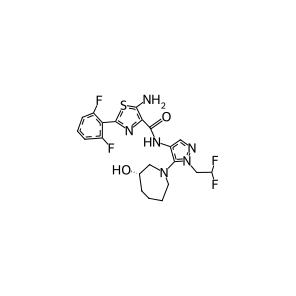 Nc1sc(-c2c(F)cccc2F)nc1C(=O)Nc1cnn(CC(F)F)c1N1CCCC[C@H](O)C1